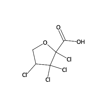 O=C(O)C1(Cl)OCC(Cl)C1(Cl)Cl